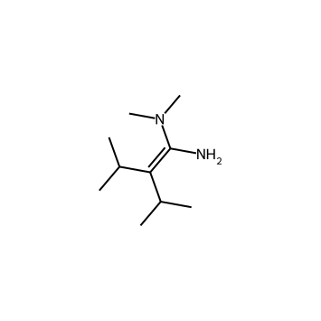 CC(C)C(=C(N)N(C)C)C(C)C